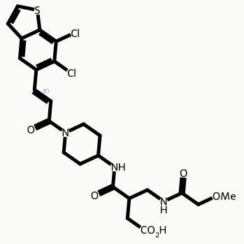 COCC(=O)NCC(CC(=O)O)C(=O)NC1CCN(C(=O)/C=C/c2cc3ccsc3c(Cl)c2Cl)CC1